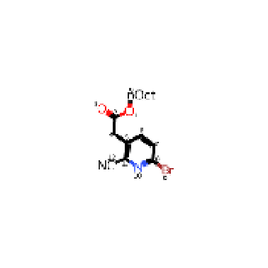 CCCCCCCCOC(=O)Cc1ccc(Br)nc1C#N